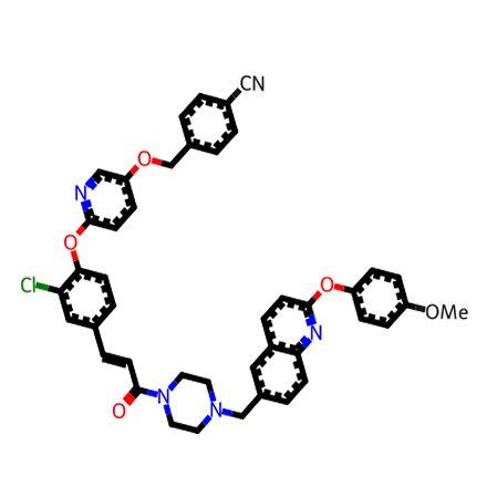 COc1ccc(Oc2ccc3cc(CN4CCN(C(=O)C=Cc5ccc(Oc6ccc(OCc7ccc(C#N)cc7)cn6)c(Cl)c5)CC4)ccc3n2)cc1